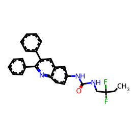 CCC(F)(F)CNC(=O)Nc1ccc2nc(-c3ccccc3)c(-c3ccccc3)cc2c1